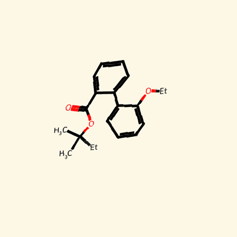 CCOc1ccccc1-c1ccccc1C(=O)OC(C)(C)CC